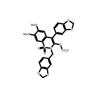 COc1cc2c(cc1OC)S(=O)(=O)N(Cc1ccc3c(c1)OCO3)C(OC(=O)O)=C2c1ccc2c(c1)OCO2